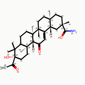 CC1(C)C2CC[C@]3(C)[C@H](C(=O)C=C4[C@H]5C[C@@](C)(C(N)=O)CC[C@]5(C)CC[C@]43C)[C@@]2(C)CC[C@@]1(O)C(=O)C=O